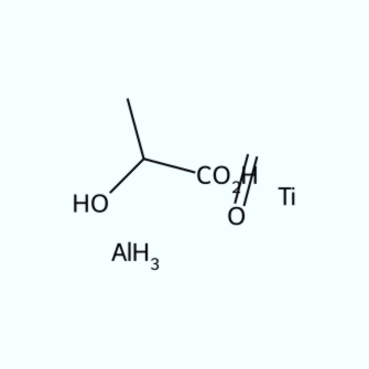 C=O.CC(O)C(=O)O.[AlH3].[Ti]